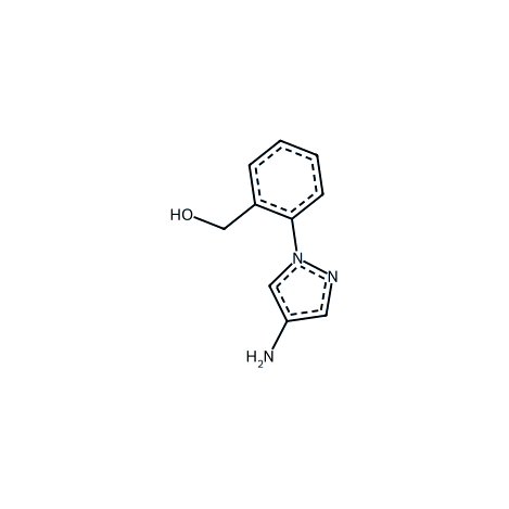 Nc1cnn(-c2ccccc2CO)c1